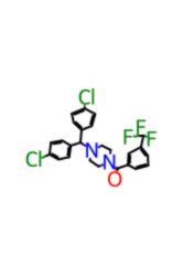 O=C(c1cccc(C(F)(F)F)c1)N1CCN(C(c2ccc(Cl)cc2)c2ccc(Cl)cc2)CC1